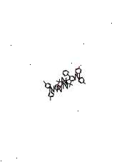 Cc1ccc(N(c2ccc(C)cc2)c2cnc3c(c2)C(C)(C)c2nc4c(nc2-3)C(C)(C)c2cc(N(c3ccc(C)cc3)c3ccc(C)cc3)cc(-c3ccccc3)c2-4)cc1